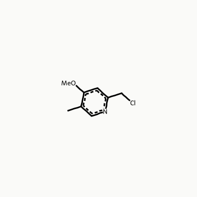 COc1cc(CCl)ncc1C